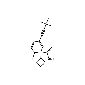 COC(=O)C1(C2CCC2)C=C(C#C[Si](C)(C)C)C=CC1C